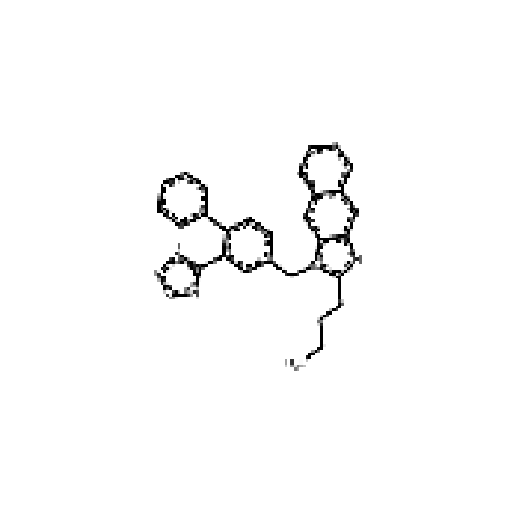 CCCCc1nc2cc3ccccc3cc2n1Cc1ccc(-c2ccccc2)c(-c2nnn[nH]2)c1